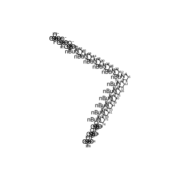 CCCC[N+]1(C)CCCC1.CCCC[N+]1(C)CCCC1.CCCC[N+]1(C)CCCC1.CCCC[N+]1(C)CCCC1.CCCC[N+]1(C)CCCC1.CCCC[N+]1(C)CCCC1.CCCC[N+]1(C)CCCC1.CCCC[N+]1(C)CCCC1.CCCC[N+]1(C)CCCC1.CCCC[N+]1(C)CCCC1.CCCC[N+]1(C)CCCC1.CCCC[N+]1(C)CCCC1.[O]=[Sb]([O-])([O-])[F].[O]=[Sb]([O-])([O-])[F].[O]=[Sb]([O-])([O-])[F].[O]=[Sb]([O-])([O-])[F].[O]=[Sb]([O-])([O-])[F].[O]=[Sb]([O-])([O-])[F]